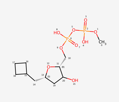 COP(=O)(O)OP(=O)(O)OC[C@H]1O[C@@H](CC2CCC2)CC1O